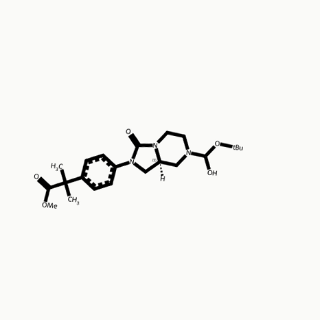 COC(=O)C(C)(C)c1ccc(N2C[C@@H]3CN(C(O)OC(C)(C)C)CCN3C2=O)cc1